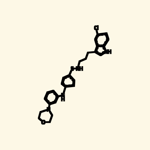 Clc1ccc2[nH]cc(CCCNSc3ccc(Nc4cccc(N5CCOCC5)c4)cc3)c2c1